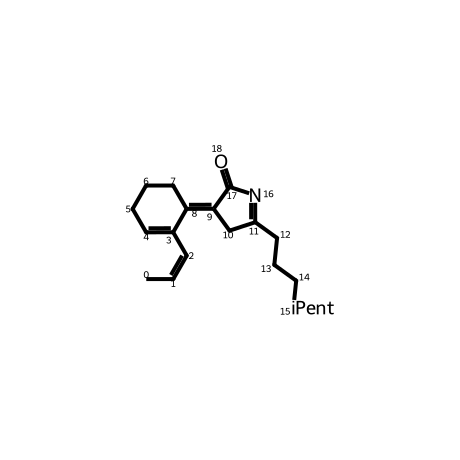 C/C=C\C1=CCCC/C1=C1/CC(CCCC(C)CCC)=NC1=O